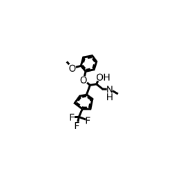 CNCC(O)C(Oc1ccccc1OC)c1ccc(C(F)(F)F)cc1